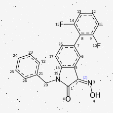 O=C1/C(=N\O)c2cc(-c3c(F)cccc3F)ccc2N1Cc1ccccc1